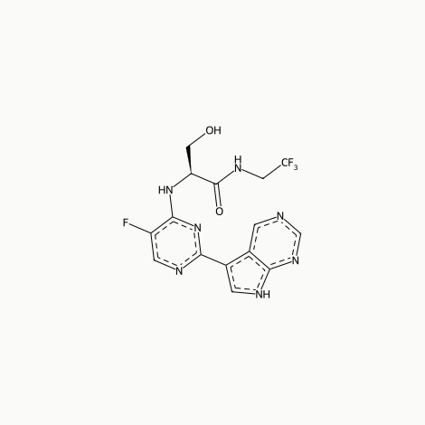 O=C(NCC(F)(F)F)[C@H](CO)Nc1nc(-c2c[nH]c3ncncc23)ncc1F